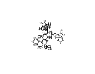 CC1CN2CCCC2(COc2nc(N3C[C@H]4CC[C@@H](C3)N4)c3cnc(-c4cccc5cccc(Cl)c45)c(F)c3n2)C1.Cl.Cl